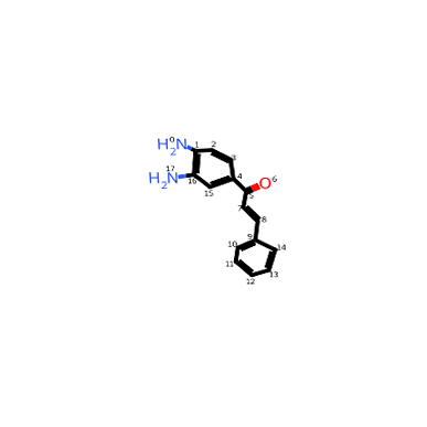 Nc1ccc(C(=O)C=Cc2ccccc2)cc1N